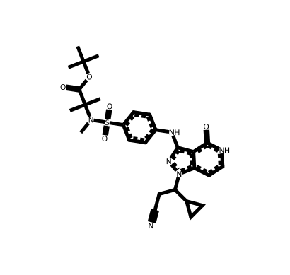 CN(C(C)(C)C(=O)OC(C)(C)C)S(=O)(=O)c1ccc(Nc2nn(C(CC#N)C3CC3)c3cc[nH]c(=O)c23)cc1